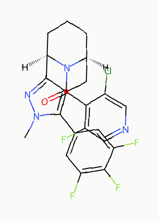 Cn1nc2c(c1-c1cc(F)c(F)c(F)c1)C[C@@H]1CCC[C@H]2N1C(=O)c1c(F)cncc1Cl